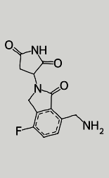 NCc1ccc(F)c2c1C(=O)N(C1CC(=O)NC1=O)C2